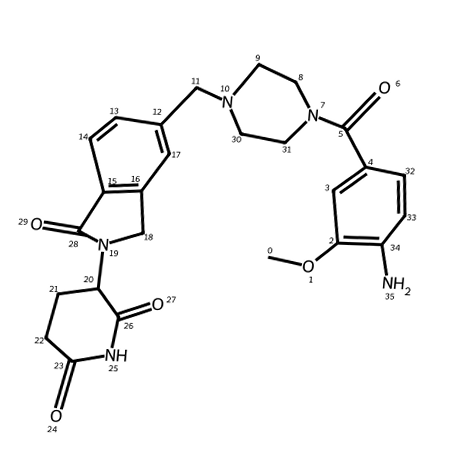 COc1cc(C(=O)N2CCN(Cc3ccc4c(c3)CN(C3CCC(=O)NC3=O)C4=O)CC2)ccc1N